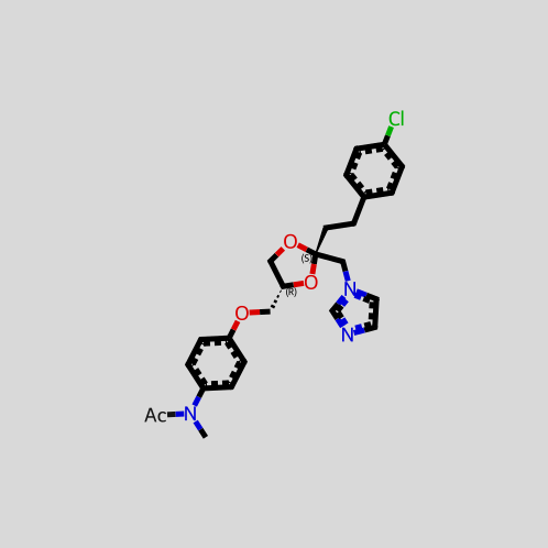 CC(=O)N(C)c1ccc(OC[C@@H]2CO[C@](CCc3ccc(Cl)cc3)(Cn3ccnc3)O2)cc1